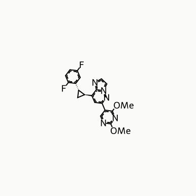 COc1ncc(-c2cc([C@H]3C[C@@H]3c3cc(F)ccc3F)c3nccn3n2)c(OC)n1